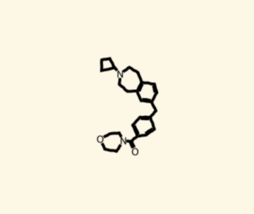 O=C(c1ccc(Cc2ccc3c(c2)CCN(C2CCC2)CC3)cc1)N1CCOCC1